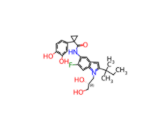 CCC(C)(C)c1cc2cc(NC(=O)C3(c4ccc(O)c(O)c4)CC3)c(F)cc2n1C[C@@H](O)CO